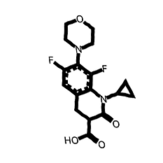 O=C(O)C1Cc2cc(F)c(N3CCOCC3)c(F)c2N(C2CC2)C1=O